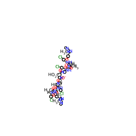 C[C@H](NCc1ccc(Cl)cc1Oc1ccc(-c2cnc(CN3CCCC3)n2C)cc1)C(=O)N1[C@H](C(=O)N[C@@]2(Cc3ccc(Cl)cc3)CCCN(C(=O)[C@@H](CC(=O)O)Cc3cccc(C[C@H](CC(=O)O)C(=O)N4CCC[C@](Cc5ccc(Cl)cc5)(NC(=O)[C@@H]5COC(C)(C)N5C(=O)[C@H](C)NCc5ccc(Cl)cc5Oc5ccc(-c6cnc(CN7CCCC7)n6C)cc5)C4)[n+]3[O-])C2)COC1(C)C